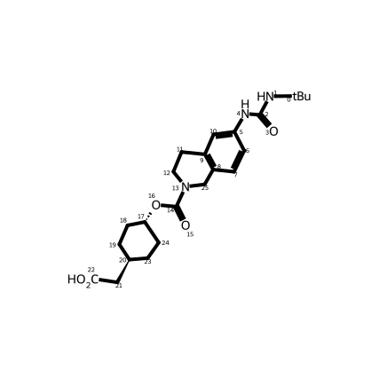 CC(C)(C)NC(=O)Nc1ccc2c(c1)CCN(C(=O)O[C@H]1CC[C@H](CC(=O)O)CC1)C2